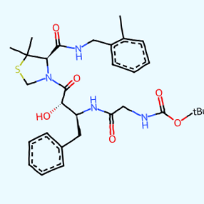 Cc1ccccc1CNC(=O)[C@H]1N(C(=O)[C@@H](O)[C@H](Cc2ccccc2)NC(=O)CNC(=O)OC(C)(C)C)CSC1(C)C